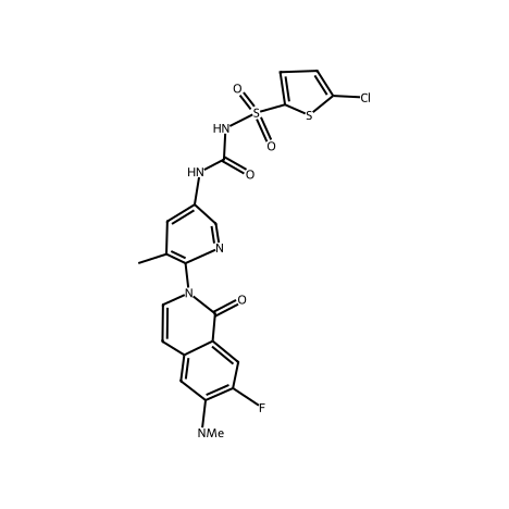 CNc1cc2ccn(-c3ncc(NC(=O)NS(=O)(=O)c4ccc(Cl)s4)cc3C)c(=O)c2cc1F